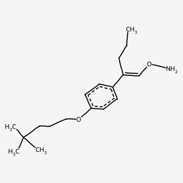 CCC/C(=C\ON)c1ccc(OCCCC(C)(C)C)cc1